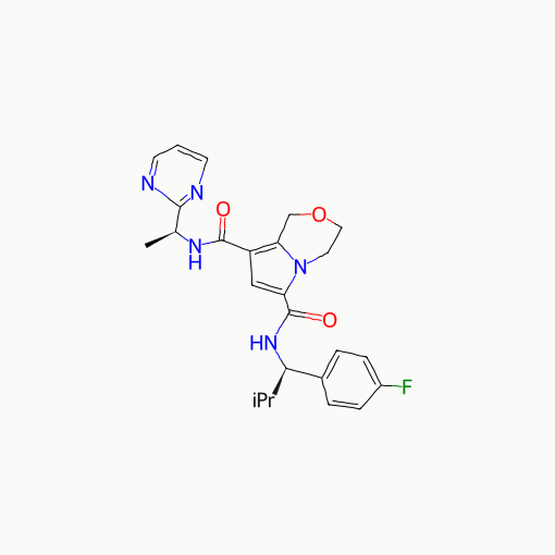 CC(C)[C@@H](NC(=O)c1cc(C(=O)N[C@@H](C)c2ncccn2)c2n1CCOC2)c1ccc(F)cc1